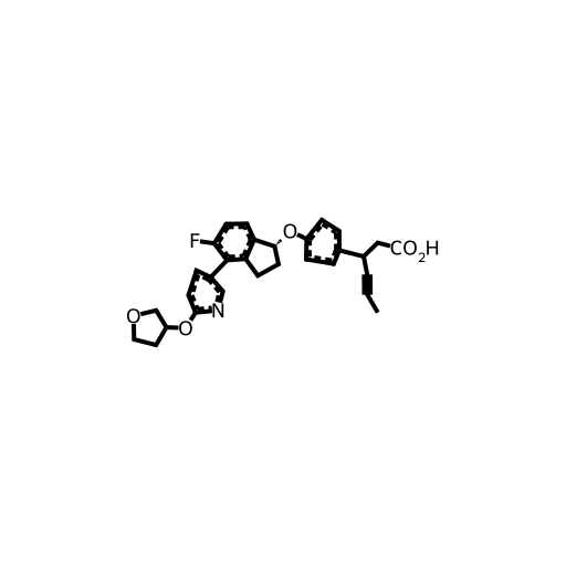 CC#CC(CC(=O)O)c1ccc(O[C@@H]2CCc3c2ccc(F)c3-c2ccc(OC3CCOC3)nc2)cc1